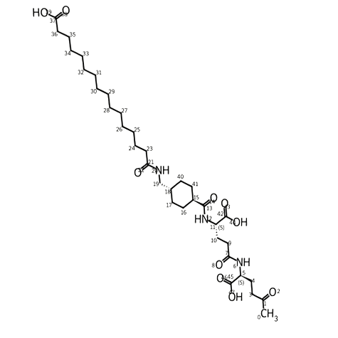 CC(=O)CC[C@H](NC(=O)CC[C@H](NC(=O)[C@H]1CC[C@H](CNC(=O)CCCCCCCCCCCCCCC(=O)O)CC1)C(=O)O)C(=O)O